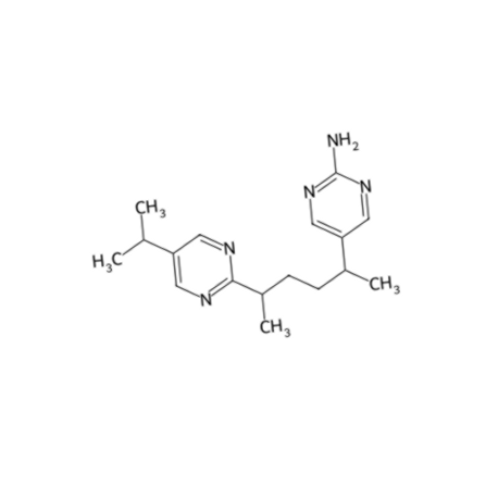 CC(C)c1cnc(C(C)CCC(C)c2cnc(N)nc2)nc1